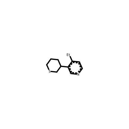 CCc1ccn[c]c1C1CCCSC1